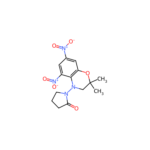 CC1(C)CN(N2CCCC2=O)c2c(cc([N+](=O)[O-])cc2[N+](=O)[O-])O1